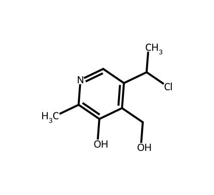 Cc1ncc(C(C)Cl)c(CO)c1O